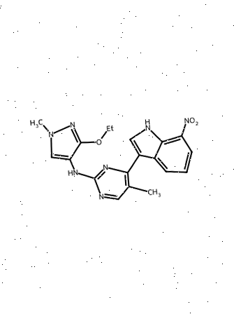 CCOc1nn(C)cc1Nc1ncc(C)c(-c2c[nH]c3c([N+](=O)[O-])cccc23)n1